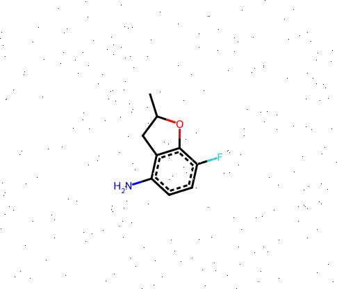 CC1Cc2c(N)ccc(F)c2O1